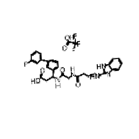 O=C(O)C(F)(F)F.O=C(O)CC(NC(=O)CNC(=O)CCCNc1nc2ccccc2[nH]1)c1cccc(-c2cccc(F)c2)c1